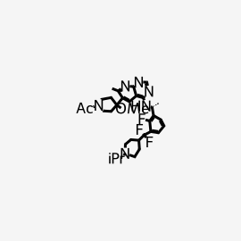 COC1(c2cc3c(N[C@H](C)c4cccc(C(F)(F)C5CCN(C(C)C)CC5)c4F)ncnc3nc2C)CCN(C(C)=O)CC1